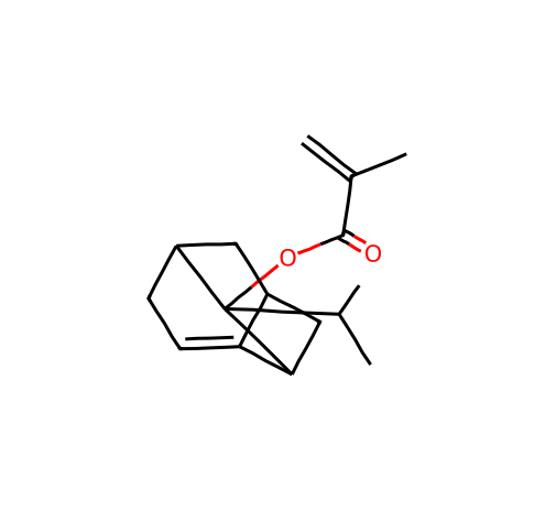 C=C(C)C(=O)OC1(C(C)C)C2CC=C3C(C2)CC31